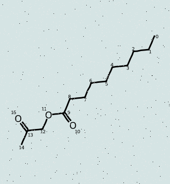 CCCCCCCCCC(=O)OCC(C)=O